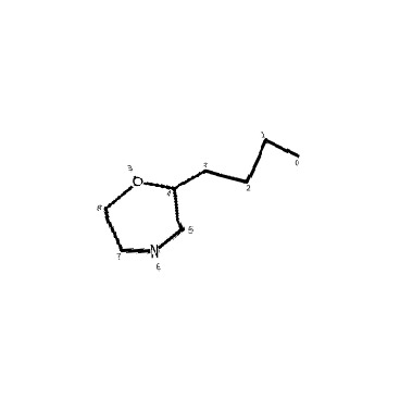 CCCCC1C[N]CCO1